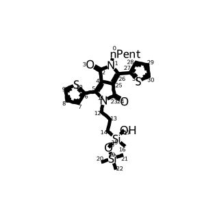 CCCCCN1C(=O)C2=C(c3cccs3)N(CCC[Si](C)(O)O[Si](C)(C)C)C(=O)C2=C1c1cccs1